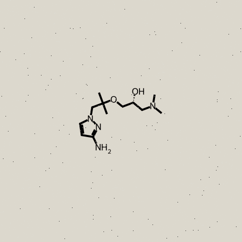 CN(C)C[C@@H](O)COC(C)(C)Cn1ccc(N)n1